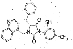 O=C1[C@@H](Cc2ccccc2)N(Cc2ccnc3ccccc23)C(=O)N1c1ccc(C(F)(F)F)cc1S